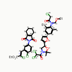 CC1(C)OC(c2ccco2)CN1C(=O)C(Cl)Cl.CCOC(=O)/C(Cl)=C/c1cc(N2C(=O)C3=C(CCCC3)C2=O)ccc1Cl.CCOCN(C(=O)CCl)c1c(C)cccc1CC